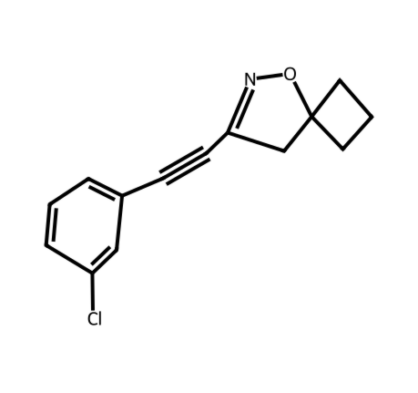 Clc1cccc(C#CC2=NOC3(CCC3)C2)c1